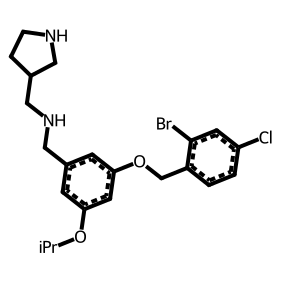 CC(C)Oc1cc(CNCC2CCNC2)cc(OCc2ccc(Cl)cc2Br)c1